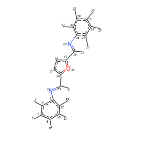 C/C(=N\c1c(C)c(C)c(C)c(C)c1C)c1ccc(/C(C)=N/c2c(C)c(C)c(C)c(C)c2C)o1